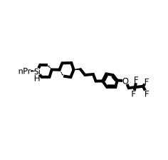 CCC[Si@H]1CC[C@H]([C@H]2CC[C@H](CCCCc3ccc(OCC(F)(F)C(F)F)cc3)CC2)CC1